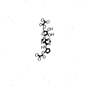 O=C(OC[C@H]1O[C@@H](n2cnc3c(N[C@@H]4CCC[C@H]4OC(=O)C(Cl)Cl)ncnc32)[C@H](O)[C@H]1O)C(Cl)Cl